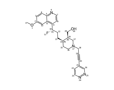 COc1ccc2nccc([C@@H](F)CC[C@@H]3CCN(CC#Cc4ccnnc4)C[C@@H]3CO)c2c1